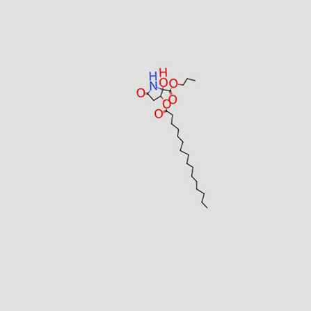 CCCCCCCCCCCCCCCC(=O)OC1CC(=O)N[C@]1(O)C(=O)OCCC